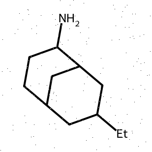 CCC1CC2CCC(N)C(C1)C2